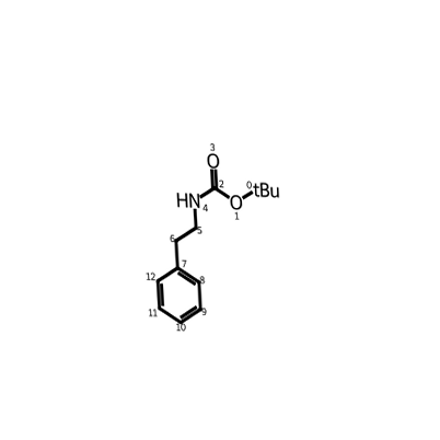 CC(C)(C)OC(=O)NCCc1ccccc1